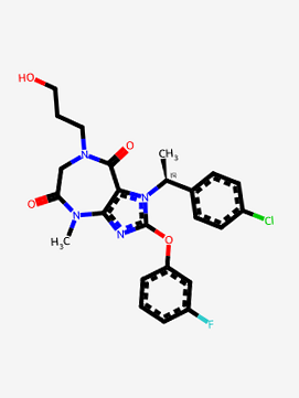 C[C@@H](c1ccc(Cl)cc1)n1c(Oc2cccc(F)c2)nc2c1C(=O)N(CCCO)CC(=O)N2C